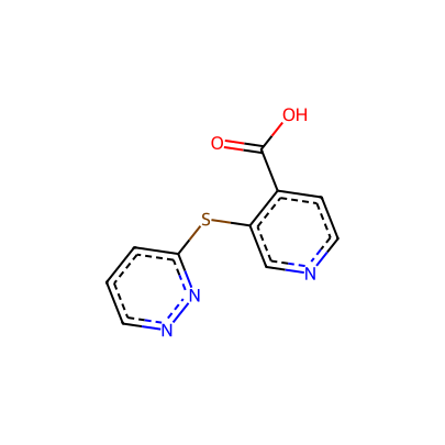 O=C(O)c1ccncc1Sc1cccnn1